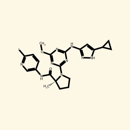 COc1nc(Nc2cc(C3CC3)[nH]n2)nc(N2CCC[C@@]2(C)C(=O)Nc2ccc(I)nc2)n1